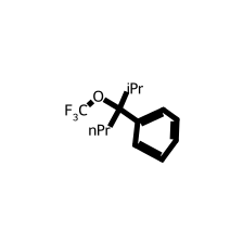 CCCC(OC(F)(F)F)(c1ccccc1)C(C)C